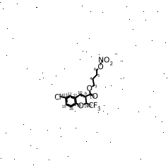 O=C(OCCCCO[N+](=O)[O-])C1=Cc2cc(Cl)ccc2OC1C(F)(F)F